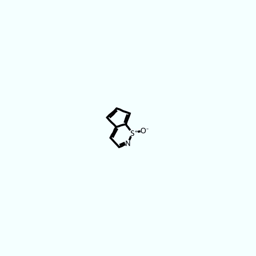 [O-][s+]1nccc2cccc1-2